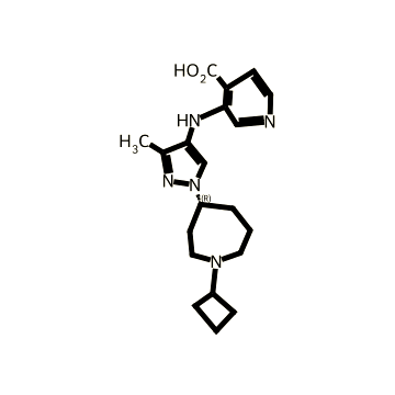 Cc1nn([C@@H]2CCCN(C3CCC3)CC2)cc1Nc1cnccc1C(=O)O